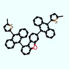 Cc1ccc(-c2c3ccccc3c(-c3ccc4c(c3)oc3cccc(-c5c6ccccc6c(-c6ccc(C)s6)c6ccccc56)c34)c3ccccc23)s1